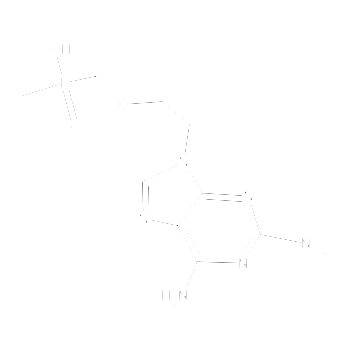 C[C@H](Cn1cnc2c(N)nc(N)nc21)OCP(C)(=O)O